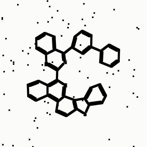 c1ccc(-c2cccc(-c3nc(-c4nc5c(ccc6sc7ccccc7c65)c5ccccc45)nc4ccccc34)c2)cc1